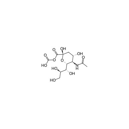 CC(=O)N[C@H]1[C@H]([C@H](O)[C@H](O)CO)O[C@](O)(C(=O)OC(=O)O)C[C@@H]1O